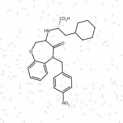 O=C(O)[C@H](CC1CCCCC1)NC1COc2ccccc2N(Cc2ccc([N+](=O)[O-])cc2)C1=O